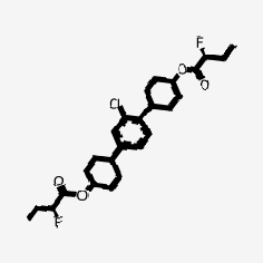 CC[C@H](F)C(=O)OC1CCC(c2ccc(C3CCC(OC(=O)[C@@H](F)CC)CC3)c(Cl)c2)CC1